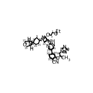 CCOCCOc1nn(C2CCC(N3[C@@H]4CC[C@H]3COC4)CC2)cc1Nc1ncc(-c2ccc(C#N)c(OC(C)Cn3cnnn3)c2)cn1